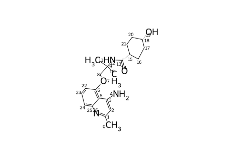 Cc1cc(N)c2c(OCC(C)(C)NC(=O)[C@H]3CC[C@@H](O)CC3)cccc2n1